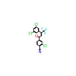 N#Cc1ccc(C(=O)/C=C(\c2cc(Cl)cc(Cl)c2)C(F)(F)F)cc1Cl